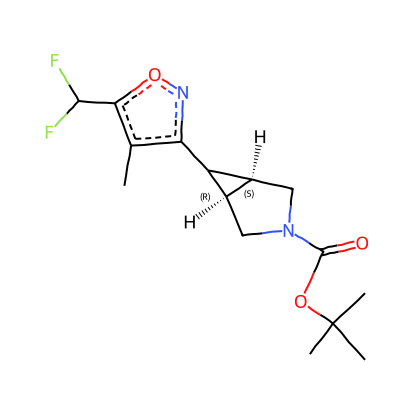 Cc1c(C2[C@H]3CN(C(=O)OC(C)(C)C)C[C@@H]23)noc1C(F)F